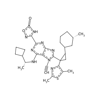 C#Cn1c(C2(c3nc(C)sc3C)CC2C2CCC[C@H](C)C2)nc2nc(-c3noc(=O)[nH]3)nc(N[C@H](C)C3CCC3)c21